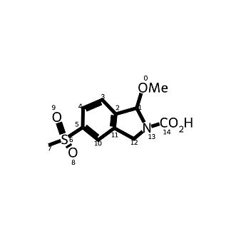 COC1c2ccc(S(C)(=O)=O)cc2CN1C(=O)O